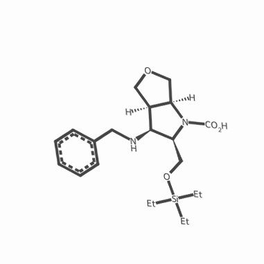 CC[Si](CC)(CC)OC[C@H]1[C@@H](NCc2ccccc2)[C@H]2COC[C@H]2N1C(=O)O